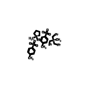 CC(C)C[P+](C)(CC(C)C)CC(C)C.CCCC[N+]1(C)CCCC1.Cc1ccc(S(=O)(=O)[O-])cc1.Cc1ccc(S(=O)(=O)[O-])cc1